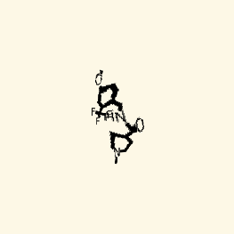 COc1ccc(CNC(=O)C2CCN(C)CC2)c(C(F)(F)F)c1